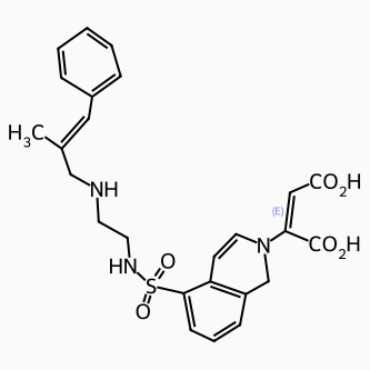 CC(=Cc1ccccc1)CNCCNS(=O)(=O)c1cccc2c1C=CN(/C(=C/C(=O)O)C(=O)O)C2